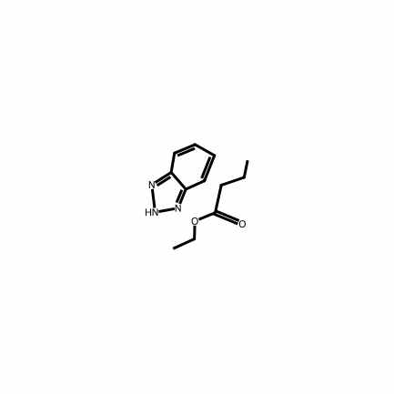 CCCC(=O)OCC.c1ccc2n[nH]nc2c1